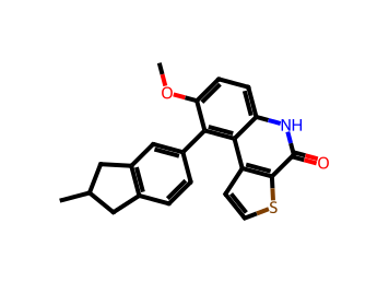 COc1ccc2[nH]c(=O)c3sccc3c2c1-c1ccc2c(c1)CC(C)C2